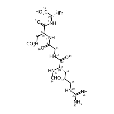 CC(C)[C@H](NC(=O)[C@H](CC(=O)O)NC(=O)CNC(=O)[C@H](CCCNC(=N)N)NC=O)C(=O)O